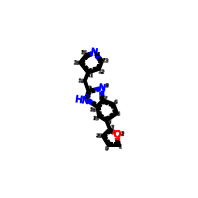 c1coc(-c2ccc3nc(Cc4ccncc4)[nH]c3c2)c1